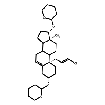 C[C@]12CCC3C(CC=C4C[C@@H](OC5CCCCO5)CC[C@@]43CC=CCl)C1CC[C@@H]2OC1CCCCO1